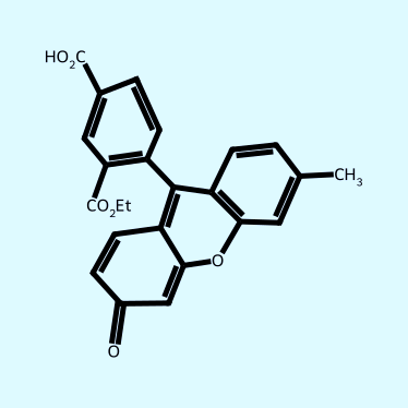 CCOC(=O)c1cc(C(=O)O)ccc1-c1c2ccc(=O)cc-2oc2cc(C)ccc12